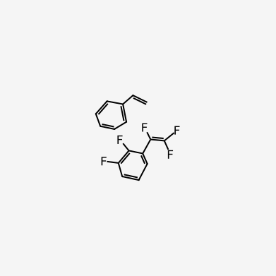 C=Cc1ccccc1.FC(F)=C(F)c1cccc(F)c1F